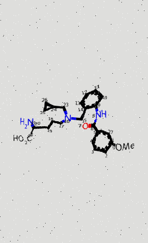 COc1cccc(C(=O)Nc2ccccc2CN(CCC[C@H](N)C(=O)O)CC2CC2)c1